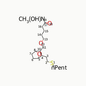 CCCCCSCCC1C2CCC(O2)C1COCCCCC(=O)N(C)O